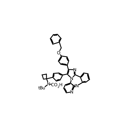 CC(C)(C)N(C(=O)O)C1(c2ccc(-c3c(-c4ccc(OCc5ccccc5)cc4)nc4n3-c3cccnc3Nc3ccccc3-4)cc2)CCC1